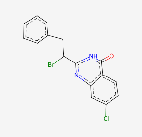 O=c1[nH]c(C(Br)Cc2ccccc2)nc2cc(Cl)ccc12